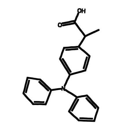 CC(C(=O)O)c1ccc(N(c2ccccc2)c2ccccc2)cc1